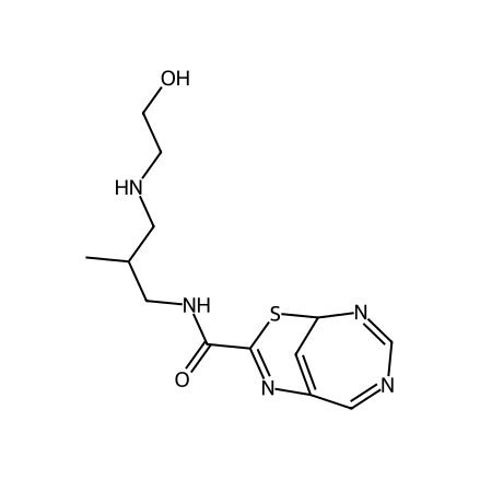 CC(CNCCO)CNC(=O)C1=NC2=CC(N=CN=C2)S1